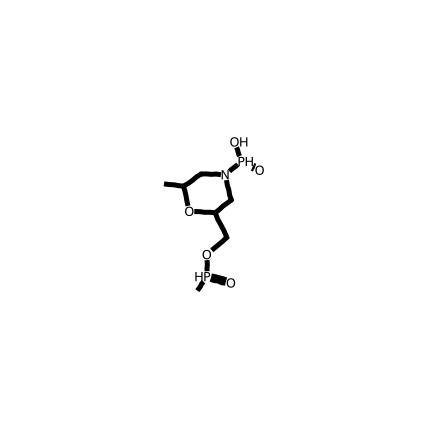 CC1CN([PH](=O)O)CC(CO[PH](C)=O)O1